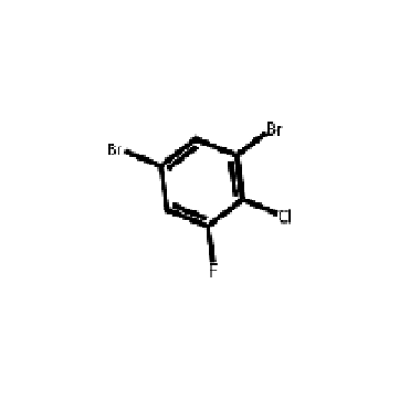 Fc1cc(Br)[c]c(Br)c1Cl